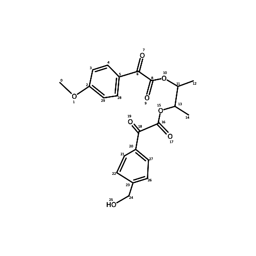 COc1ccc(C(=O)C(=O)OC(C)C(C)OC(=O)C(=O)c2ccc(CO)cc2)cc1